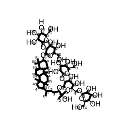 CC(CCC(O[C@@H]1O[C@H](CO[C@@H]2O[C@H](CO)[C@@H](O)[C@H](O)[C@H]2O)[C@@H](O)[C@H](O)[C@H]1O[C@@H]1O[C@H](CO)[C@@H](O)[C@H](O)[C@H]1O)C(C)(C)O)C1CCC2(C)C3CC=C4C(CC[C@H](O[C@@H]5O[C@H](CO)[C@@H](O)[C@H](O)[C@H]5O[C@@H]5O[C@H](CO)[C@@H](O)[C@H](O)[C@H]5O)C4(C)C)C3(C)CCC12C